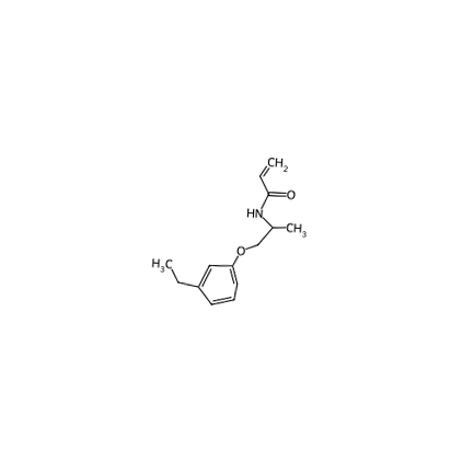 C=CC(=O)NC(C)COc1cccc(CC)c1